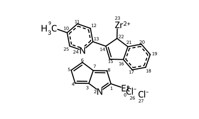 CCC1=NC2=CC=CC2=C1.Cc1ccc(C2=Cc3ccccc3[CH]2[Zr+2])nc1.[Cl-].[Cl-]